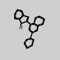 [Hf][CH]1C(c2cc(-c3ccccc3)cc3ccccc23)=Cc2ccccc21